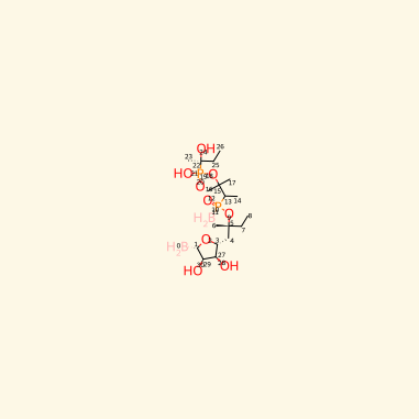 B[C@@H]1O[C@H](C[C@@](C)(CC)OP(B)(=O)C(C)C(C)(C)OP(=O)(O)[C@@](C)(O)CC)[C@@H](O)[C@H]1O